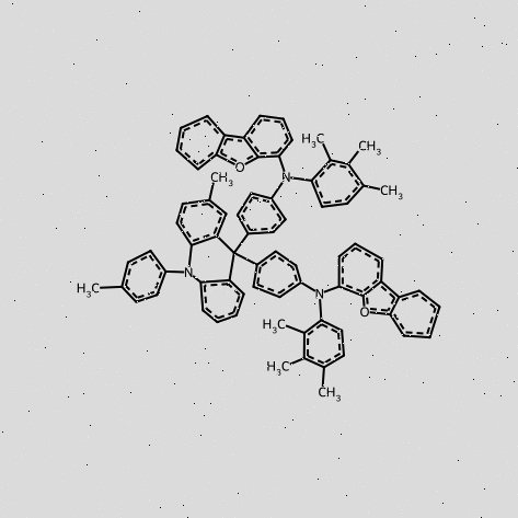 Cc1ccc(N2c3ccccc3C(c3ccc(N(c4ccc(C)c(C)c4C)c4cccc5c4oc4ccccc45)cc3)(c3ccc(N(c4ccc(C)c(C)c4C)c4cccc5c4oc4ccccc45)cc3)c3cc(C)ccc32)cc1